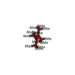 C=C(c1cc(-c2ccc(OCC(COCCOC)(COCCOC)COCCOC)cc2)sc1-c1ccc(OCC(COCCOC)(COCCOC)COCCOC)cc1)C(F)(F)C(F)(F)C(F)(F)Cc1cc(-c2ccc(OCC(COCCOC)(COCCOC)COCCOC)cc2)sc1-c1ccc(OCC(COCCOC)(COCCOC)COCCOC)cc1